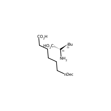 CCCCCCCCCCCCCCCC(=O)O.CC[C@H](C)[C@H](N)C(=O)O